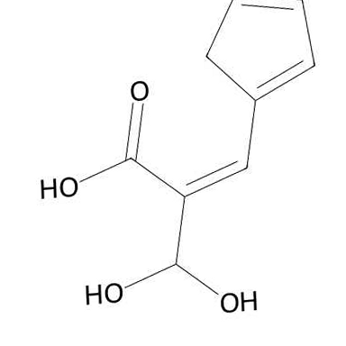 O=C(O)C(=CC1=CC=CC1)C(O)O